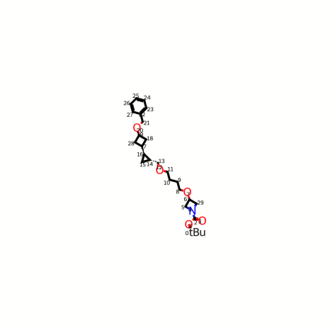 CC(C)(C)OC(=O)N1CC(OCCCCOC[C@@H]2C[C@H]2C2CC(OCc3ccccc3)C2)C1